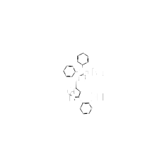 CC(C)(C)[Si](OCc1cc(-c2ccccc2O)no1)(c1ccccc1)c1ccccc1